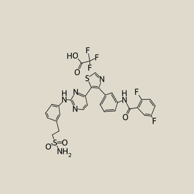 NS(=O)(=O)CCc1cccc(Nc2nccc(-c3scnc3-c3cccc(NC(=O)c4cc(F)ccc4F)c3)n2)c1.O=C(O)C(F)(F)F